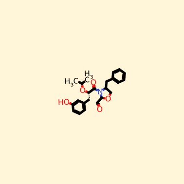 CC(C)O[C@@H](Cc1cccc(O)c1)C(=O)N1C(Cc2ccccc2)COC1C=O